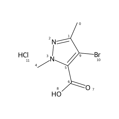 Cc1nn(C)c(C(=O)O)c1Br.Cl